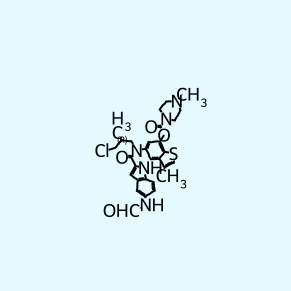 Cc1csc2c(OC(=O)N3CCN(C)CC3)cc(N(C[C@@H](C)CCl)C(=O)c3cc4cc(NC=O)ccc4[nH]3)cc12